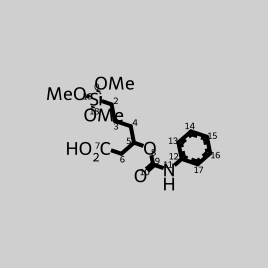 CO[Si](CCCC(CC(=O)O)OC(=O)Nc1ccccc1)(OC)OC